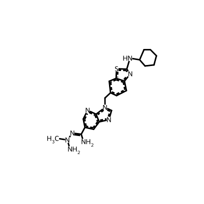 CN(N)/N=C(\N)c1cnc2c(c1)ncn2Cc1ccc2nc(NC3CCCCC3)sc2c1